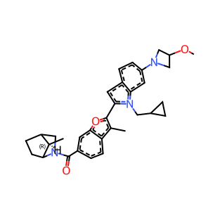 COC1CN(c2ccc3cc(-c4oc5cc(C(=O)N6CC7CCC6[C@@H]7C)ccc5c4C)n(CC4CC4)c3c2)C1